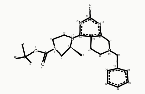 C[C@H]1CN(C(=O)OC(C)(C)C)CCN1c1nc(Cl)nc2c1CCN(Cc1ccccc1)C2